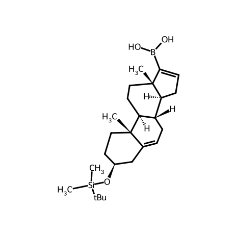 CC(C)(C)[Si](C)(C)O[C@H]1CC[C@@]2(C)C(=CC[C@@H]3[C@@H]2CC[C@]2(C)C(B(O)O)=CC[C@@H]32)C1